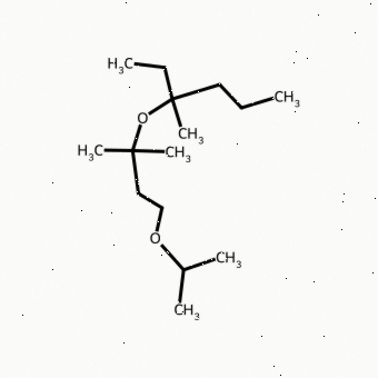 CCCC(C)(CC)OC(C)(C)CCOC(C)C